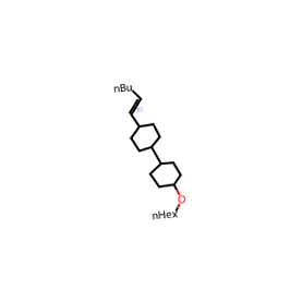 CCCC/C=C/C1CCC(C2CCC(OCCCCCC)CC2)CC1